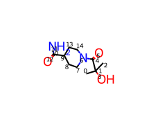 CC(C)(O)C(=O)N1CCC(C(N)=O)CC1